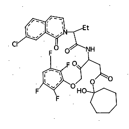 CCC(C(=O)NC(CC(=O)OC1(O)CCCCCC1)C(=O)COc1c(F)c(F)cc(F)c1F)n1ccc2ccc(Cl)cc2c1=O